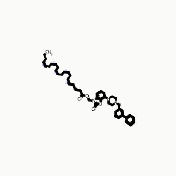 CCC/C=C\C/C=C\C/C=C\C/C=C\C/C=C\CCCC(=O)OCn1c(=O)oc2c(N3CCN(Cc4cccc(-c5ccccc5)c4)CC3)cccc21